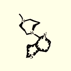 CN1CCN(c2nccc3sccc23)CC1